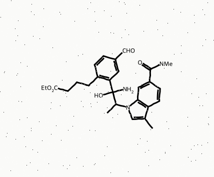 CCOC(=O)CCCc1ccc(C=O)cc1C(N)(O)C(C)n1cc(C)c2ccc(C(=O)NC)cc21